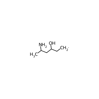 [CH2]CC(O)CC(C)N